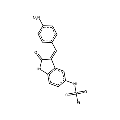 CCS(=O)(=O)Nc1ccc2c(c1)C(=Cc1ccc([N+](=O)[O-])cc1)C(=O)N2